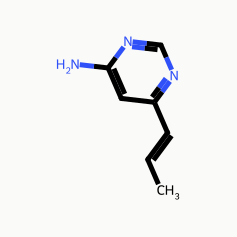 CC=Cc1cc(N)ncn1